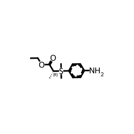 CCOC(=O)[C@@H](C)S(C)(C)c1ccc(N)cc1